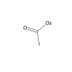 O=[C](I)[Os]